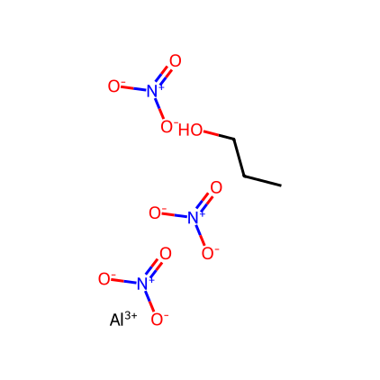 CCCO.O=[N+]([O-])[O-].O=[N+]([O-])[O-].O=[N+]([O-])[O-].[Al+3]